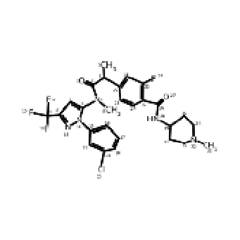 CC(C(=O)N(C)c1cc(C(F)(F)F)nn1-c1cccc(Cl)c1)c1ccc(C(=O)NC2CCN(C)CC2)c(F)c1